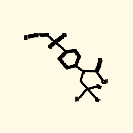 [N-]=[N+]=NS(=O)(=O)c1ccc(N(CC(Br)(Br)Br)C(=O)O)cc1